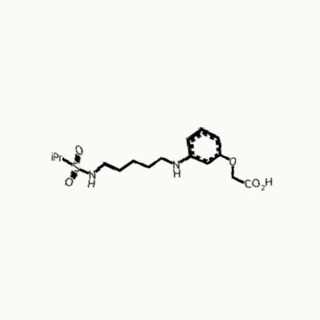 CC(C)S(=O)(=O)NCCCCCNc1cccc(OCC(=O)O)c1